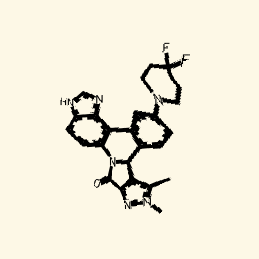 Cc1c2c(nn1C)C(=O)N1c3ccc4[nH]cnc4c3-c3cc(N4CCC(F)(F)CC4)ccc3C21